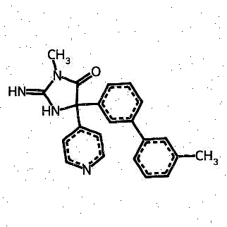 Cc1cccc(-c2cccc(C3(c4ccncc4)NC(=N)N(C)C3=O)c2)c1